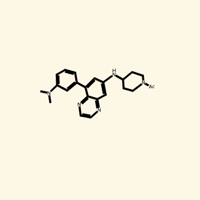 CC(=O)N1CCC(Nc2cc(-c3cccc(N(C)C)c3)c3nccnc3c2)CC1